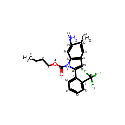 CCCCOC(=O)n1c(-c2ccccc2C(F)(F)F)cc2cc(C)c(N)cc21